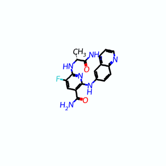 C[C@@H](Nc1nc(Nc2ccc3ncccc3c2)c(C(N)=O)cc1F)C(N)=O